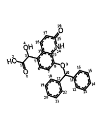 O=C(O)C(O)c1ccc(OC(c2ccccc2)c2ccccc2)c2[nH]c(=O)ccc12